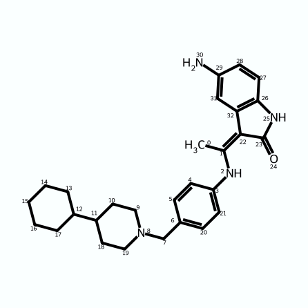 C/C(Nc1ccc(CN2CCC(C3CCCCC3)CC2)cc1)=C1/C(=O)Nc2ccc(N)cc21